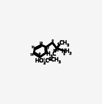 CC(=O)O.CC(C)(N)Cc1ccccc1